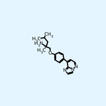 CC(C)C[C@](C)(N)COc1ccc(-c2ccnn3ccnc23)cc1